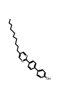 CCCCCCCCCCc1cnc(-c2ccc(-c3ccc(O)cc3)cc2)nc1